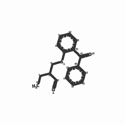 CCC(C=O)CSc1ccccc1C(=O)c1ccccc1